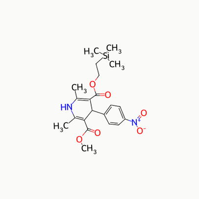 COC(=O)C1=C(C)NC(C)=C(C(=O)OCC[Si](C)(C)C)C1c1ccc([N+](=O)[O-])cc1